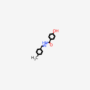 Cc1ccc(/C=N/NC(=O)c2ccc(O)cc2)cc1